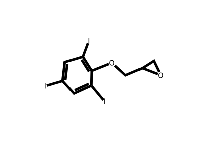 Ic1cc(I)c(OCC2CO2)c(I)c1